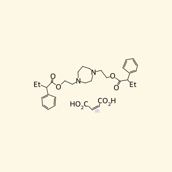 CCC(C(=O)OCCN1CCCN(CCOC(=O)C(CC)c2ccccc2)CC1)c1ccccc1.O=C(O)/C=C\C(=O)O